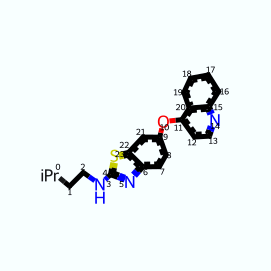 CC(C)CCNc1nc2ccc(Oc3ccnc4ccccc34)cc2s1